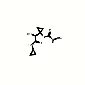 CC(C)(C)NC(=O)OC1(C(O)C(=O)NC2CC2)CC1